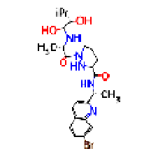 CC(C)[C@H](O)C(O)N[C@@H](C)C(=O)N1CCC[C@@H](C(=O)N[C@H](C)c2ccc3ccc(Br)cc3n2)N1